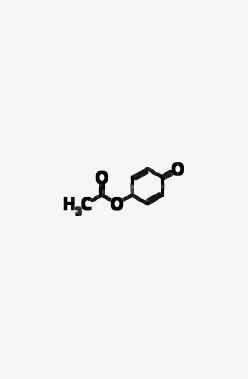 CC(=O)OC1C=CC(=O)C=C1